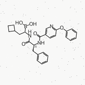 O=C(N[C@@H](Cc1ccccc1)C(=O)NC(CC1CCC1)B(O)O)c1ccc(Oc2ccccc2)nc1